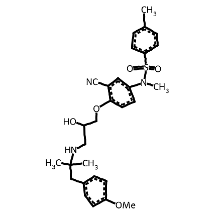 COc1ccc(CC(C)(C)NCC(O)COc2ccc(N(C)S(=O)(=O)c3ccc(C)cc3)cc2C#N)cc1